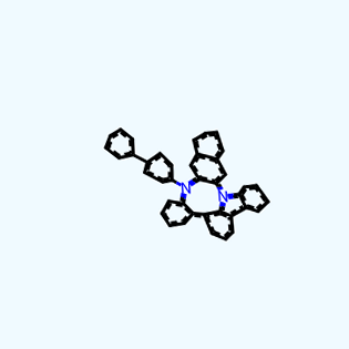 c1ccc(-c2ccc(-n3c4ccccc4c4cccc5c6ccccc6n(c6cc7ccccc7cc63)c45)cc2)cc1